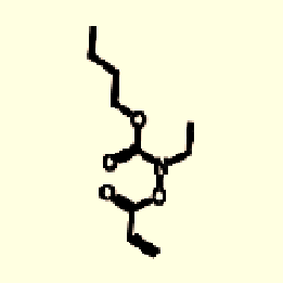 C=CC(=O)ON(CC)C(=O)OCCCC